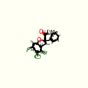 COC(=O)C1(c2ccccc2)Cc2c(cc(F)c(Cl)c2Br)O1